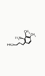 Cc1ccc(CCCO)c(N)c1C